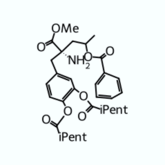 CCCC(C)C(=O)Oc1ccc(C[C@](N)(CC(C)OC(=O)c2ccccc2)C(=O)OC)cc1OC(=O)C(C)CCC